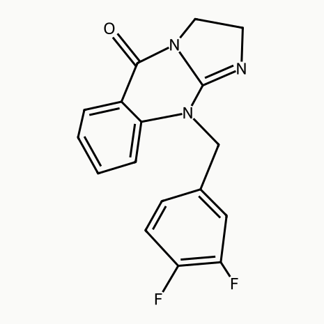 O=C1c2ccccc2N(Cc2ccc(F)c(F)c2)C2=NCCN12